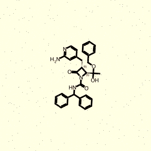 CC(O)(OCc1ccccc1)[C@@H]1[C@@H](Cc2ccnc(N)c2)C(=O)N1C(=O)NC(c1ccccc1)c1ccccc1